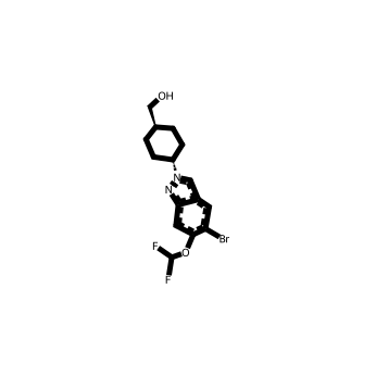 OC[C@H]1CC[C@H](n2cc3cc(Br)c(OC(F)F)cc3n2)CC1